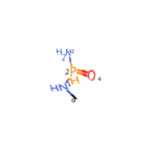 CN[PH](N)=O